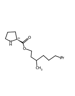 CC(C)CCCC(C)CCOC(=O)[C@@H]1CCCN1